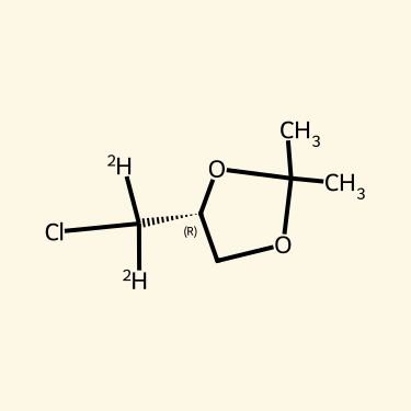 [2H]C([2H])(Cl)[C@H]1COC(C)(C)O1